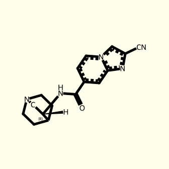 N#Cc1cn2ccc(C(=O)N[C@H]3CN4CCC3CC4)cc2n1